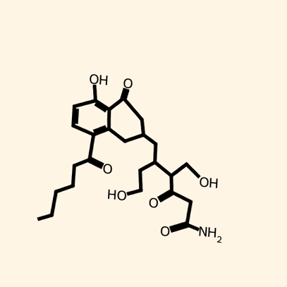 CCCCCC(=O)c1ccc(O)c2c1CC(CC(CCO)C(CO)C(=O)CC(N)=O)CC2=O